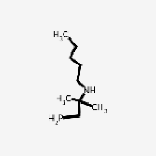 CCCCCNC(C)(C)CP